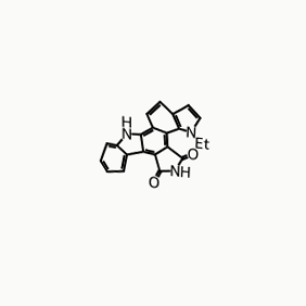 CCn1ccc2ccc3c4[nH]c5ccccc5c4c4c(c3c21)C(=O)NC4=O